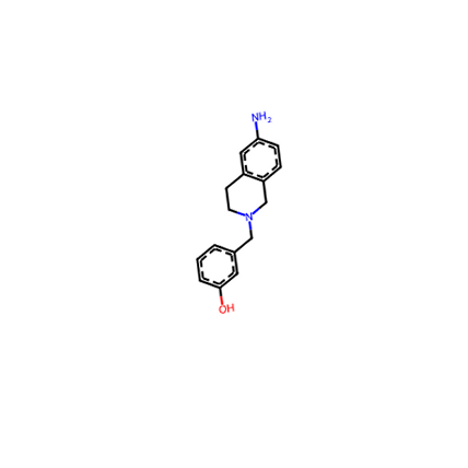 Nc1ccc2c(c1)CCN(Cc1cccc(O)c1)C2